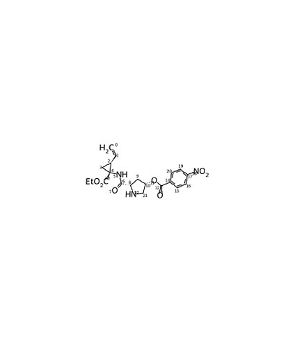 C=C[C@@H]1C[C@]1(NC(=O)[C@@H]1C[C@H](OC(=O)c2ccc([N+](=O)[O-])cc2)CN1)C(=O)OCC